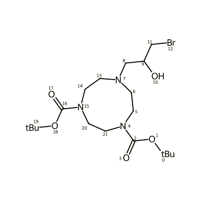 CC(C)(C)OC(=O)N1CCN(CC(O)CBr)CCN(C(=O)OC(C)(C)C)CC1